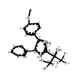 CSc1ccc(-c2[nH]c(C(O)(C(F)(F)F)C(F)(F)F)nc2-c2ccccc2)cc1